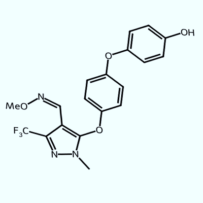 CO/N=C\c1c(C(F)(F)F)nn(C)c1Oc1ccc(Oc2ccc(O)cc2)cc1